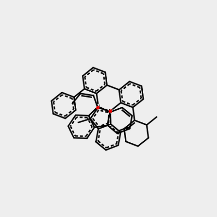 C/C=C\c1c(C)c2ccccc2n1-c1c(C2=CCCCC2C)cccc1-c1cccc(-c2ccccc2)c1N1c2ccccc2C2C=CC=CC21